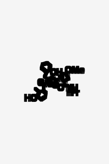 CCCNC(=O)[C@@H]1C[C@H](OC)CN1C(=O)[C@@H](O)[C@H](Cc1ccccc1)NC(=O)c1cccc(O)c1C